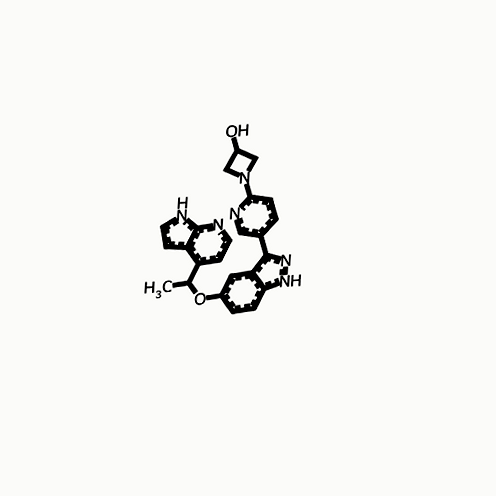 CC(Oc1ccc2[nH]nc(-c3ccc(N4CC(O)C4)nc3)c2c1)c1ccnc2[nH]ccc12